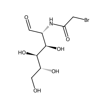 O=C[C@H](NC(=O)CBr)[C@@H](O)[C@H](O)[C@H](O)CO